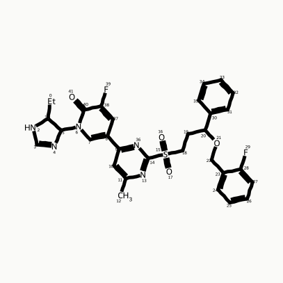 CCC1NC=NC1n1cc(-c2cc(C)nc(S(=O)(=O)CCC(OCc3ccccc3F)c3ccccc3)n2)cc(F)c1=O